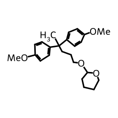 COc1ccc(C(C)(CCCOC2CCCCO2)c2ccc(OC)cc2)cc1